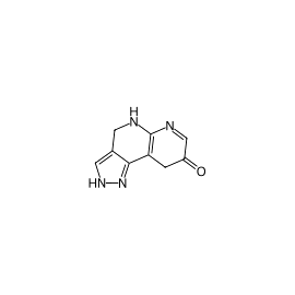 O=C1C=NC2=C(C1)c1n[nH]cc1CN2